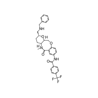 CN1C(=O)c2cc(NC(=O)c3ccc(C(F)(F)F)cc3)ccc2OC[C@@H]2O[C@H](CNCc3ccccc3)CC[C@@H]21